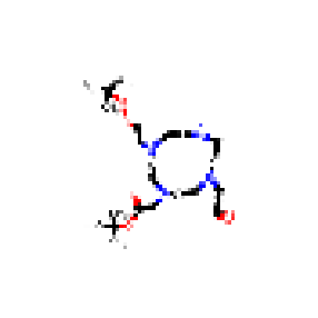 CC(C)(C)OOCCN1CCNCCN(CC=O)CCN(CC(=O)OC(C)(C)C)CC1